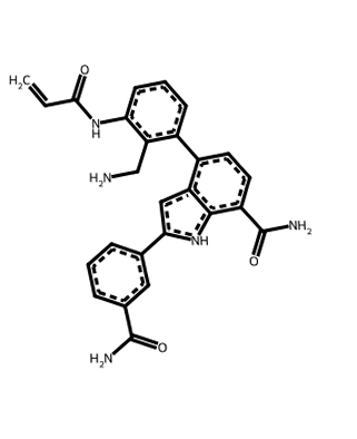 C=CC(=O)Nc1cccc(-c2ccc(C(N)=O)c3[nH]c(-c4cccc(C(N)=O)c4)cc23)c1CN